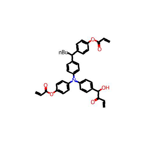 C=CC(=O)Oc1ccc(C(CCCC)c2ccc(N(c3ccc(OC(=O)C=C)cc3)c3ccc(C(O)C(=O)C=C)cc3)cc2)cc1